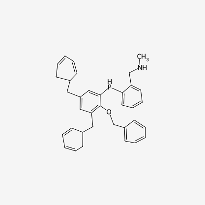 CNCc1ccccc1Pc1cc(CC2C=CC=CC2)cc(CC2C=CC=CC2)c1OCc1ccccc1